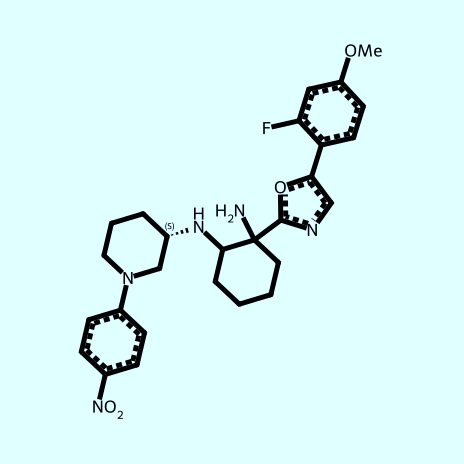 COc1ccc(-c2cnc(C3(N)CCCCC3N[C@H]3CCCN(c4ccc([N+](=O)[O-])cc4)C3)o2)c(F)c1